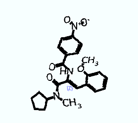 COc1ccccc1/C=C(\NC(=O)c1ccc([N+](=O)[O-])cc1)C(=O)N(C)C1CCCC1